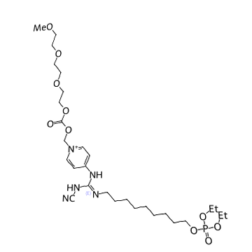 CCOP(=O)(OCC)OCCCCCCCCC/N=C(/NC#N)Nc1cc[n+](COC(=O)OCCOCCOCCOC)cc1